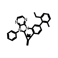 C=C1C2(C)c3ccc(-c4c(C)cccc4CC)cc3N3c4nccnc4N(c4ccccc4)C3C12C